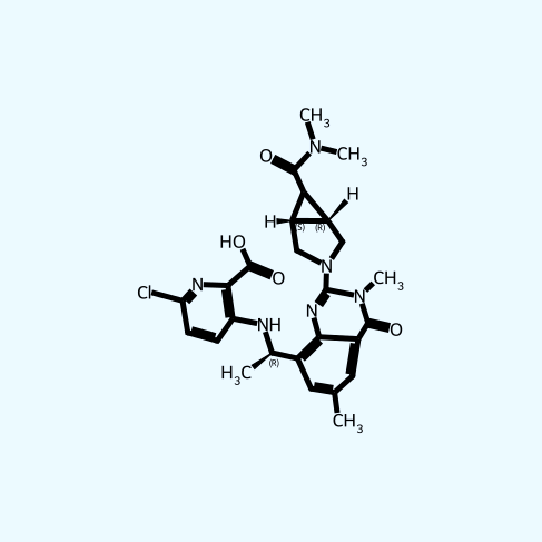 Cc1cc([C@@H](C)Nc2ccc(Cl)nc2C(=O)O)c2nc(N3C[C@@H]4C(C(=O)N(C)C)[C@@H]4C3)n(C)c(=O)c2c1